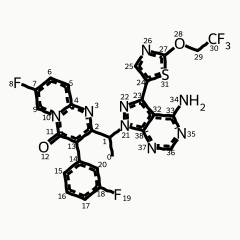 CC(c1nc2ccc(F)cn2c(=O)c1-c1cccc(F)c1)n1nc(-c2cnc(OCC(F)(F)F)s2)c2c(N)ncnc21